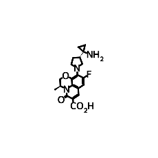 C[C@H]1COc2c(N3CC[C@H](C4(N)CC4)C3)c(F)cc3cc(C(=O)O)c(=O)n1c23